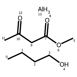 CCCCO.COC(=O)CC(C)=O.[AlH3]